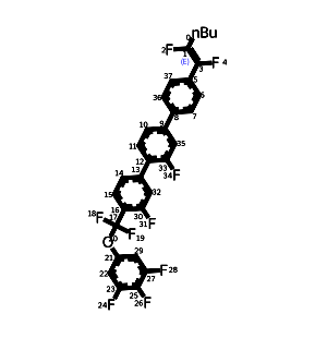 CCCC/C(F)=C(\F)c1ccc(-c2ccc(-c3ccc(C(F)(F)Oc4cc(F)c(F)c(F)c4)c(F)c3)c(F)c2)cc1